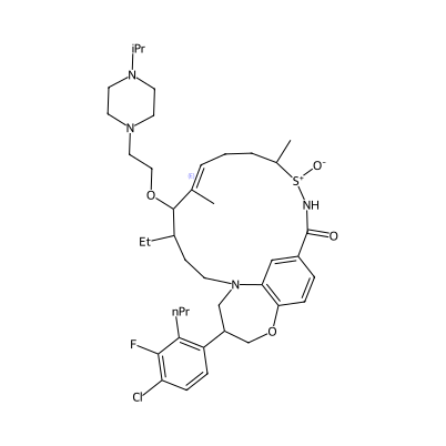 CCCc1c(C2COc3ccc4cc3N(CCC(CC)C(OCCN3CCN(C(C)C)CC3)/C(C)=C/CCC(C)[S+]([O-])NC4=O)C2)ccc(Cl)c1F